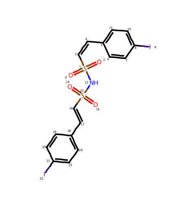 O=S(=O)(/C=C\c1ccc(I)cc1)NS(=O)(=O)/C=C/c1ccc(I)cc1